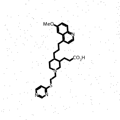 COc1ccc2nccc(CCCC3CCN(CCSc4ccncn4)CC3CCC(=O)O)c2c1